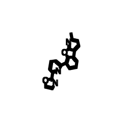 Cc1ccc2c(n1)oc1c(-c3cccc(-c4ncco4)n3)cccc12